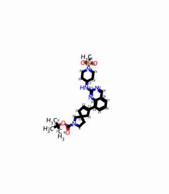 CC(C)(C)OC(=O)N1CCC2(CC=C(c3cccc4cnc(NC5CCN(S(C)(=O)=O)CC5)nc34)C2)C1